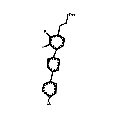 CCCCCCCCCCCCc1ccc(-c2ccc(-c3ccc(CC)cc3)cc2)c(F)c1F